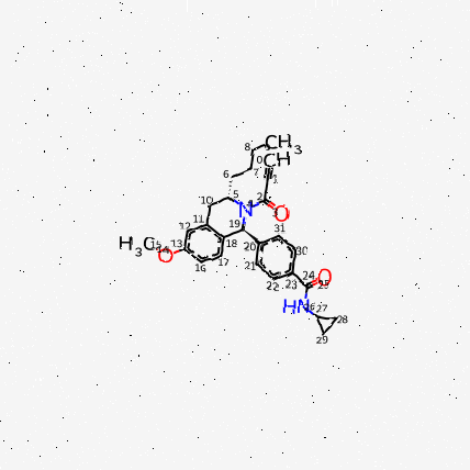 C#CC(=O)N1[C@@H](CCCC)Cc2cc(OC)ccc2[C@@H]1c1ccc(C(=O)NC2CC2)cc1